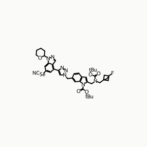 CC(C)(C)OC(=O)N(Cc1cc2ccc(Cn3cc(-c4cc([Se]C#N)cc5c4cnn5C4CCCCO4)nn3)cc2n1C(=O)OC(C)(C)C)CC12CC(F)(C1)C2